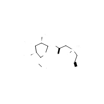 C#CC[N+](C)(C)CC(=O)O[C@@H]1O[C@H](COC(C)=O)[C@@H](OC(C)=O)[C@H](OC(C)=O)[C@H]1OC(C)=O